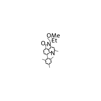 CC[C@@H](COC)N1C(=O)c2ccc(-c3c(C)cc(C)cc3C)c3nc(C)cc1c23